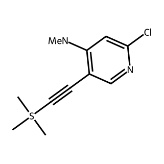 CNc1cc(Cl)ncc1C#CS(C)(C)C